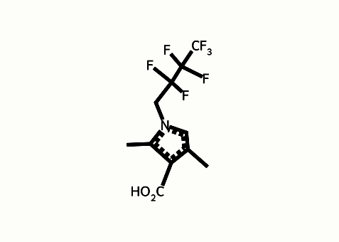 Cc1cn(CC(F)(F)C(F)(F)C(F)(F)F)c(C)c1C(=O)O